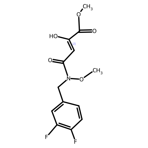 COC(=O)/C(O)=C/C(=O)N(Cc1ccc(F)c(F)c1)OC